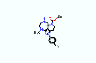 CC(C)c1ccc(-n2nc3c4c2CCN(C(=O)OC(C)(C)C)[C@H]4CNCCN3C)cc1